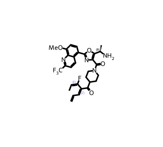 C=C/C=C(C(=O)C1CCN(C(=O)c2nc(-c3ccc(OC)c4nc(C(F)(F)F)ccc34)oc2[C@@H](C)N)CC1)\C(F)=C/C